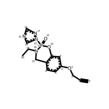 C#CCOc1ccc2c(c1)OP(=O)(n1cncn1)N(CC)C2